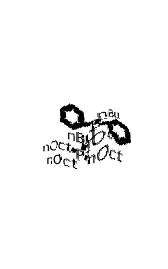 CCCCCCCC[P+](CCCCCCCC)(CCCCCCCC)CCCCCCCC.CCCC[B-](CCCC)(c1ccccc1)c1ccccc1